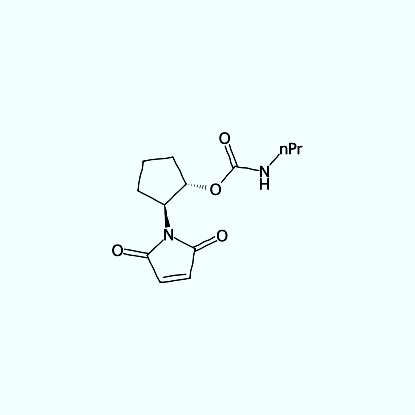 CCCNC(=O)O[C@H]1CCC[C@@H]1N1C(=O)C=CC1=O